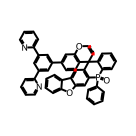 O=P1(c2ccccc2)c2ccccc2C2(c3ccccc3Oc3cc(-c4cc(-c5ccccn5)cc(-c5ccccn5)c4)ccc32)c2cc3c(cc21)oc1ccccc13